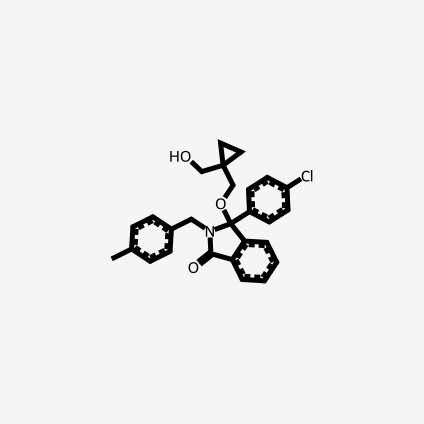 Cc1ccc(CN2C(=O)c3ccccc3C2(OCC2(CO)CC2)c2ccc(Cl)cc2)cc1